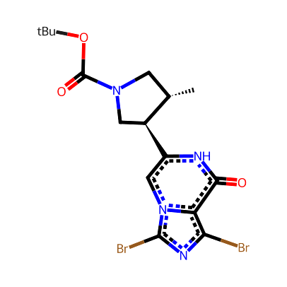 C[C@H]1CN(C(=O)OC(C)(C)C)C[C@@H]1c1cn2c(Br)nc(Br)c2c(=O)[nH]1